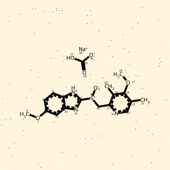 COc1ccc2[nH]c([S+]([O-])Cc3ncc(C)c(OC)c3C)nc2c1.O=C([O-])O.[Na+]